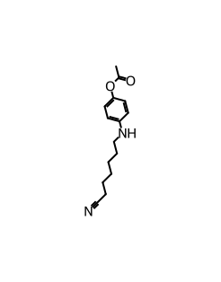 CC(=O)Oc1ccc(NCCCCCCC#N)cc1